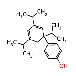 CC(C)C1=CC(c2ccc(O)cc2)(C(C)C)CC(C(C)C)=C1